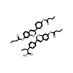 CCCC(=O)Oc1ccc(C2=Cc3ccc(OC(=O)CCC)cc3OC2)cc1.CCCC(=O)Oc1ccc2c(c1)OCC(c1ccc(C(CC)C(=O)O)cc1)=C2